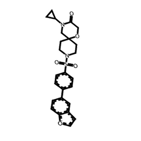 O=C1COC2(CCN(S(=O)(=O)c3ccc(-c4ccc5occc5c4)cc3)CC2)CN1C1CC1